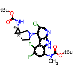 CN(C(=O)OC(C)(C)C)c1cc(F)c(F)c2c1[nH]c1ncc(Cl)c(N3CC[C@@]4(C[C@H]4NC(=O)OC(C)(C)C)C3)c12